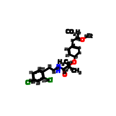 CCO[C@@H](CC1=CCC(OC(C)(C)C(=O)NCCc2ccc(Cl)cc2Cl)C=C1)C(=O)O